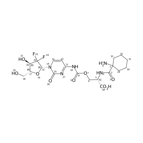 NC1(C(=O)N[C@@H](COC(=O)Nc2ccn([C@@H]3O[C@H](CO)[C@@H](O)C3(F)F)c(=O)n2)C(=O)O)CCCCC1